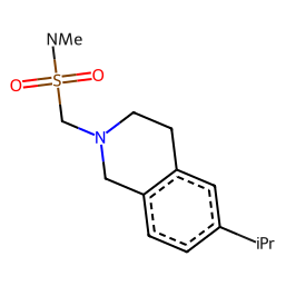 CNS(=O)(=O)CN1CCc2cc(C(C)C)ccc2C1